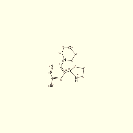 Brc1cnc(N2CCOCC2)c(C2CCCN2)c1